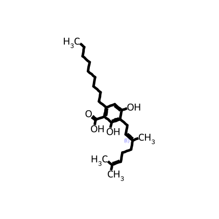 CCCCCCCCCc1cc(O)c(C/C=C(\C)CCC=C(C)C)c(O)c1C(=O)O